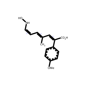 COc1ccc(\C(=C/C(C)=C/C=C\NO)C(=O)O)cc1